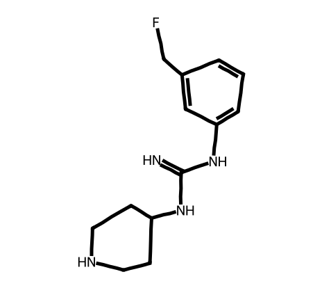 N=C(Nc1cccc(CF)c1)NC1CCNCC1